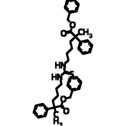 CC(CCCCNC(=S)NCCCCC(C)(C(=O)OCc1ccccc1)c1ccccc1)(C(=O)OCc1ccccc1)c1ccccc1